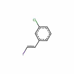 Clc1cccc(C=CI)c1